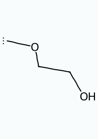 [C]OCCO